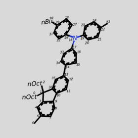 CCCCCCCCC1(CCCCCCCC)c2cc(C)ccc2-c2ccc(-c3ccc(N(c4ccc(C)cc4)c4ccc(CCCC)cc4)cc3)cc21